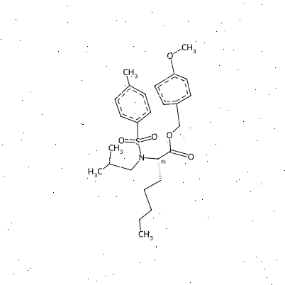 CCCCC[C@@H](C(=O)OCc1ccc(OC)cc1)N(CC(C)C)S(=O)(=O)c1ccc(C)cc1